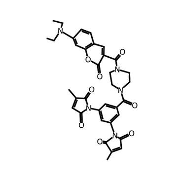 CCN(CC)c1ccc2cc(C(=O)N3CCN(C(=O)c4cc(N5C(=O)C=C(C)C5=O)cc(N5C(=O)C=C(C)C5=O)c4)CC3)c(=O)oc2c1